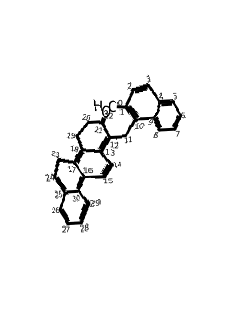 Cc1ccc2ccccc2c1CC1=c2ccc3c(c2CCC1=O)CC=c1ccccc1=3